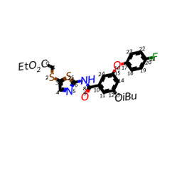 CCOC(=O)CSc1cnc(NC(=O)c2cc(OCC(C)C)cc(Oc3ccc(F)cc3)c2)s1